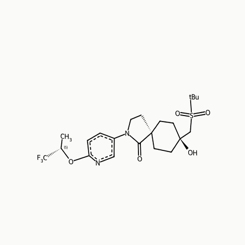 C[C@H](Oc1ccc(N2CC[C@]3(CC[C@@](O)(CS(=O)(=O)C(C)(C)C)CC3)C2=O)cn1)C(F)(F)F